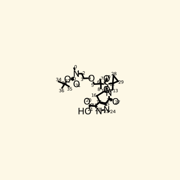 CN(CCOCC(C)(C)S(=O)(=O)C1(CN2CCc3c(C(=O)O)nn(C)c3C2=O)CC1)C(=O)OC(C)(C)C